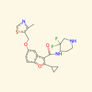 Cc1ncsc1COc1ccc2oc(C3CC3)c(C(=O)NC3CCNCC3(F)F)c2c1